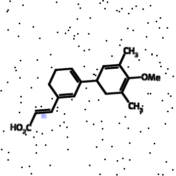 COC1=C(C)CC(C2=CCCC(/C=C/C(=O)O)=C2)C=C1C